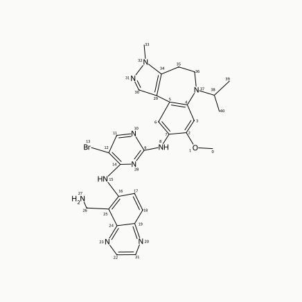 COc1cc2c(cc1Nc1ncc(Br)c(Nc3ccc4nccnc4c3CN)n1)-c1cnn(C)c1CCN2C(C)C